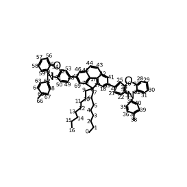 CCCCCCCCC1(CCCCCCCC)c2cc(-c3ccc4c(c3)Oc3ccccc3N4c3ccc(C)cc3)cc3ccc4cc(-c5ccc6c(c5)Oc5ccccc5N6c5ccc(C)cc5)cc1c4c23